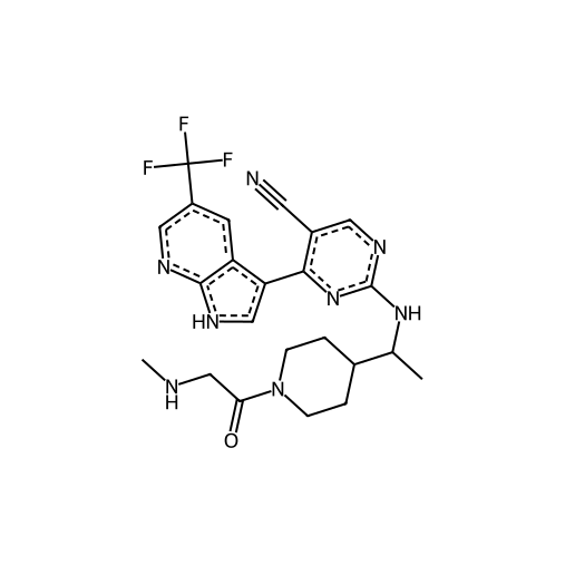 CNCC(=O)N1CCC(C(C)Nc2ncc(C#N)c(-c3c[nH]c4ncc(C(F)(F)F)cc34)n2)CC1